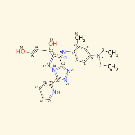 CCN(CC)c1ccc(/N=C2/C(C(O)C#CO)=Nn3c2nnc3-c2ccccn2)c(C)c1